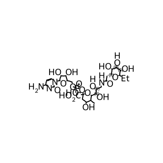 CCC1O[C@H](CC(=O)NC[C@@H](O)[C@@H](O)C2OC(OP(=O)(O)OCC3OC(n4ccc(N)nc4=O)C(O)C3O)(C(=O)O)CC(O)C2C)C(O)[C@@H](O)[C@@H]1O